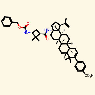 C=C(C)[C@@H]1CC[C@]2(NC(=O)[C@@H]3C[C@H](NC(=O)OCc4ccccc4)C3(C)C)CC[C@]3(C)[C@H](CC[C@@H]4[C@@]5(C)CC=C(c6ccc(C(=O)O)cc6)C(C)(C)[C@@H]5CC[C@]43C)[C@@H]12